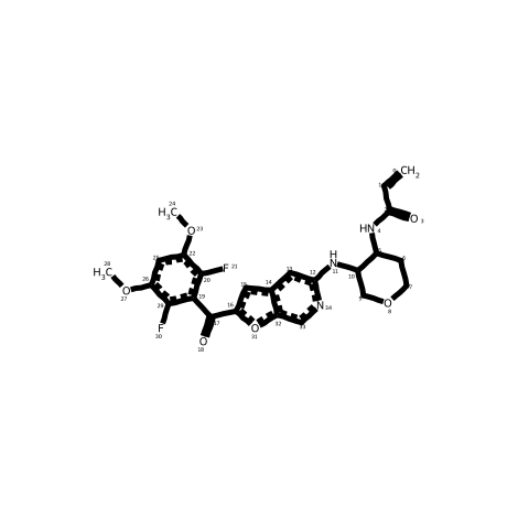 C=CC(=O)NC1CCOCC1Nc1cc2cc(C(=O)c3c(F)c(OC)cc(OC)c3F)oc2cn1